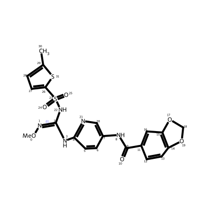 CO/N=C(\Nc1ccc(NC(=O)c2ccc3c(c2)OCO3)cn1)NS(=O)(=O)c1ccc(C)s1